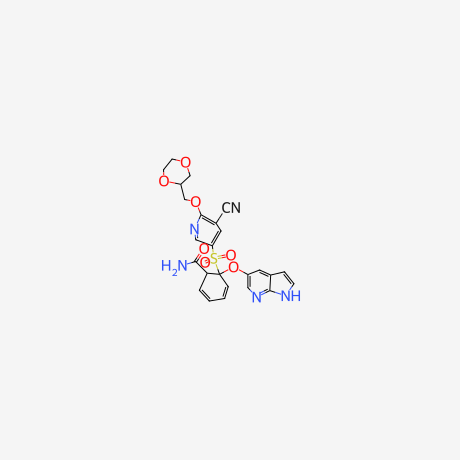 N#Cc1cc(S(=O)(=O)C2(Oc3cnc4[nH]ccc4c3)C=CC=CC2C(N)=O)cnc1OCC1COCCO1